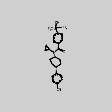 C[C@](O)(c1ccc(C(=O)N(C2CC2)[C@H]2CC[C@H](c3ccc(C#N)nc3)CC2)cc1)C(F)(F)F